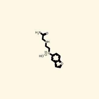 Cl.Cl.NC(=O)CNCCOc1ccc2occc2c1